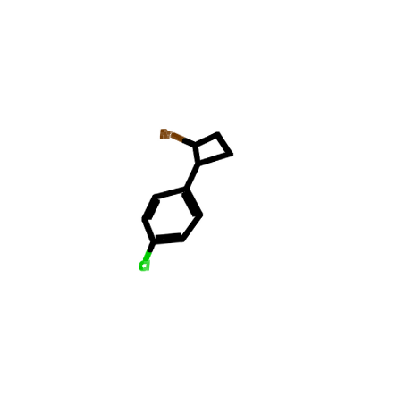 Clc1ccc(C2CCC2Br)cc1